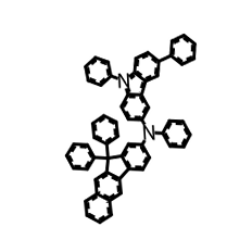 c1ccc(-c2ccc3c(c2)c2cc(N(c4ccccc4)c4ccc5c(c4)C(c4ccccc4)(c4ccccc4)c4cc6ccccc6cc4-5)ccc2n3-c2ccccc2)cc1